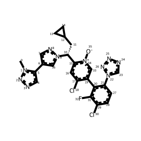 Cn1nncc1-c1cnn([C@H](CC2CC2)c2cc(Cl)c(-c3c(-n4cnnn4)ccc(Cl)c3F)c[n+]2[O-])c1